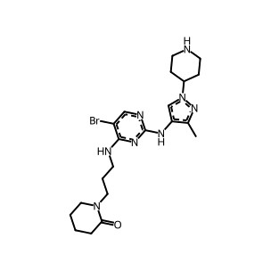 Cc1nn(C2CCNCC2)cc1Nc1ncc(Br)c(NCCCN2CCCCC2=O)n1